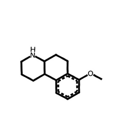 COc1cccc2c1CCC1NCCCC21